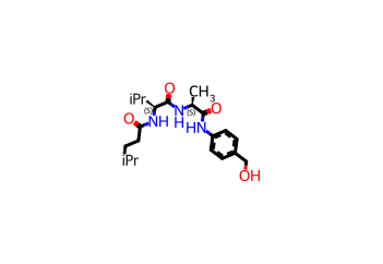 CC(C)CCC(=O)N[C@H](C(=O)N[C@@H](C)C(=O)Nc1ccc(CO)cc1)C(C)C